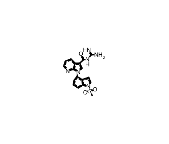 CS(=O)(=O)n1ccc2c(-n3cc(C(=O)NC(=N)N)c4cccnc43)cccc21